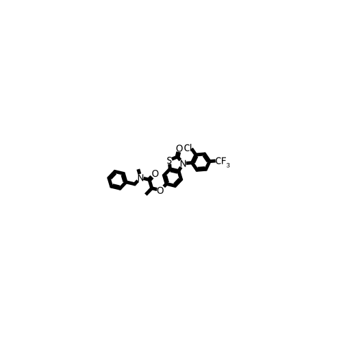 CC(Oc1ccc2c(c1)sc(=O)n2-c1ccc(C(F)(F)F)cc1Cl)C(=O)N(C)Cc1ccccc1